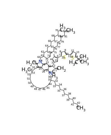 C=C/C(C1=CC=C(c2ccc(-c3ccc(C(C)(C)C)s3)s2)C1)=c1/cc2c3cc1N(C)CC(CCCCCCCCCCCC)CCCCCCCCCC(C)Cc3c(=C)n2CC(CCCCCCCCCC)CCCCCCCCCCCC